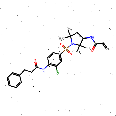 C=CC(=O)NC1CC(C)(C)N(S(=O)(=O)c2ccc(NC(=O)CCc3ccccc3)c(Cl)c2)C1(C)C